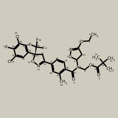 CCOC1=NOC(N(COC(=O)C(C)(C)C)C(=O)c2ccc(C3=NO[C@@](c4cc(Cl)c(F)c(Cl)c4)(C(F)(F)F)C3)cc2C)C1